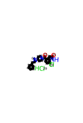 CN(CCc1ccccc1)C1CCN(C(=O)c2ccc(Cl)c3c2CC(=O)N3)CC1.Cl